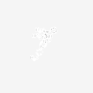 CC1CCC(N2CCN(S(=O)(=O)N[C@@]3(C(=O)O)[C@H](C)[C@@H]3c3ccccc3)CC2)CC1